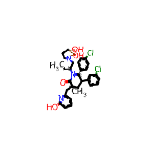 CC[C@@H](CN1CCCS1(O)O)N1C(=O)[C@@](C)(Cc2cccc(O)n2)CC(c2cccc(Cl)c2)[C@H]1c1ccc(Cl)cc1